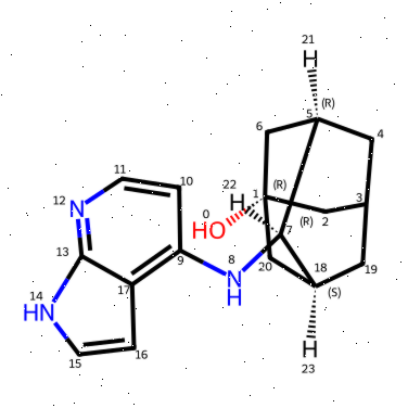 O[C@@]12CC3C[C@H](C1)[C@H](Nc1ccnc4[nH]ccc14)[C@@H](C3)C2